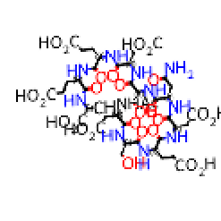 CC(=O)N[C@H](CC(=O)O)C(=O)N[C@H](CO)C(=O)N[C@H](CCC(=O)O)C(=O)N[C@H](CC(=O)O)C(=O)N[C@H](CC(N)=O)C(=O)N[C@H](CO)C(=O)N[C@H](CC(=O)O)C(=O)N[C@H](CCC(=O)O)C(=O)N[C@H](CCC(=O)O)C(=O)N[C@H](C)C(=O)O